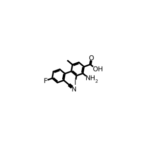 Cc1cc(C(=O)O)c(N)c(I)c1-c1ccc(F)cc1C#N